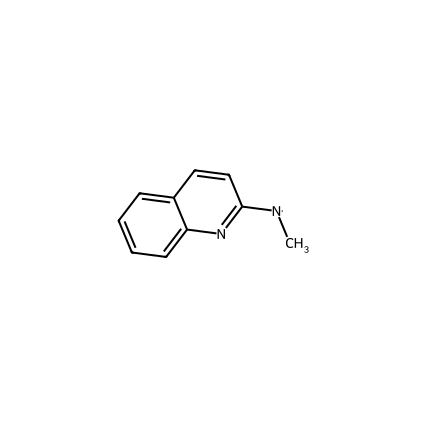 C[N]c1ccc2ccccc2n1